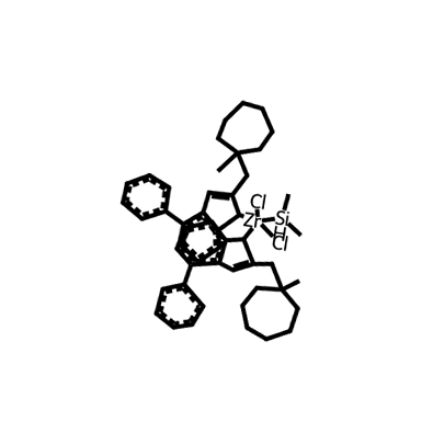 C[SiH](C)[Zr]([Cl])([Cl])([CH]1C(CC2(C)CCCCCC2)=Cc2c(-c3ccccc3)cccc21)[CH]1C(CC2(C)CCCCCC2)=Cc2c(-c3ccccc3)cccc21